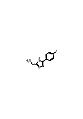 NCc1nnc(-c2ccc(F)cc2)[nH]1